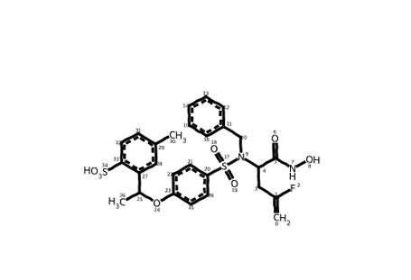 C=C(F)CC(C(=O)NO)N(Cc1ccccc1)S(=O)(=O)c1ccc(OC(C)c2cc(C)ccc2S(=O)(=O)O)cc1